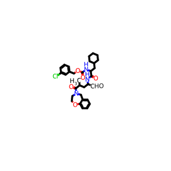 CC(CC(C=O)NC(=O)C(CC1CCCCC1)NC(=O)OCc1cccc(Cl)c1)C(=O)N1CCOc2ccccc2C1